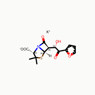 CC1(C)S[C@@H]2[C@H]([C@H](O)C(=O)c3ccco3)C(=O)N2[C@H]1C(=O)[O-].[K+]